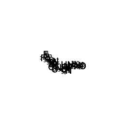 O=C(NCc1ccc2ncc(NC3CCN(C4COC4)CC3)nc2c1)c1cncn(Cc2ccc(F)c(F)c2)c1=O